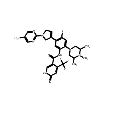 Cc1cnc(N2CC=C(c3cc(NC(=O)c4c[nH]c(=O)cc4C(F)(F)F)c(N4CC(C)N(C)C(C)C4)cc3F)C2)nc1